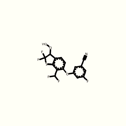 N#Cc1cc(F)cc(Oc2ccc3c(c2C(F)F)SC(F)(F)C3OO)c1